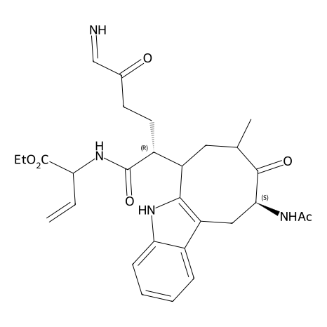 C=CC(NC(=O)[C@H](CCC(=O)C=N)C1CC(C)C(=O)[C@@H](NC(C)=O)Cc2c1[nH]c1ccccc21)C(=O)OCC